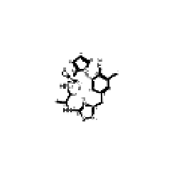 Cc1cc(Cc2nsc(NC(C)CNS(=O)(=O)c3cccs3)n2)ccc1F